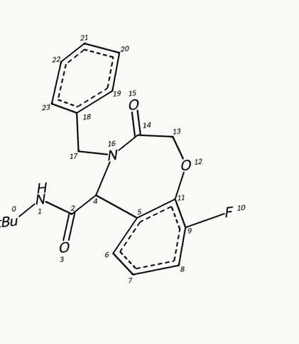 CC(C)(C)NC(=O)C1c2cccc(F)c2OCC(=O)N1Cc1ccccc1